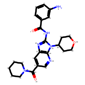 Nc1cccc(C(=O)Nc2nc3cc(C(=O)N4CCCCC4)cnc3n2C2CCOCC2)c1